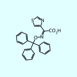 O=C(O)C(=NOC(c1ccccc1)(c1ccccc1)c1ccccc1)c1cscn1